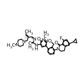 C=C(/N=C\C(=C/C)CN1CCN(C)CC1)Nc1cc(-c2cccc(N3CCc4cc(C5CC5)cc(F)c4C3=O)c2CO)cn(C)c1=O